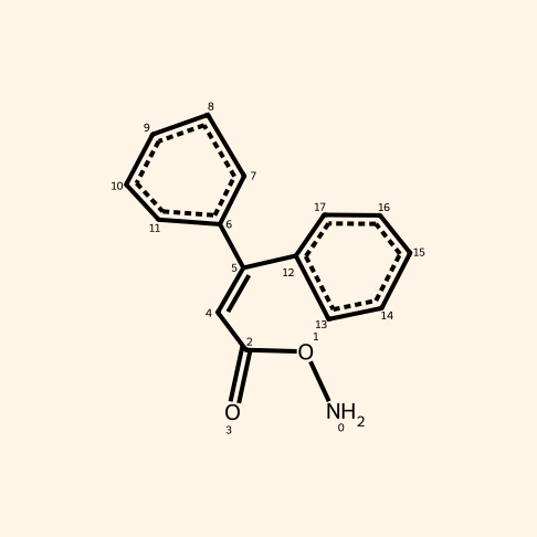 NOC(=O)C=C(c1ccccc1)c1ccccc1